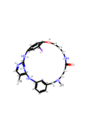 CCN1CCC(=O)NCCCOc2ccc(cc2I)Nc2ncc(C#N)c(n2)Nc2cccc(c2)C1